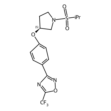 CC(C)S(=O)(=O)N1CC[C@H](Oc2ccc(-c3noc(C(F)(F)F)n3)cc2)C1